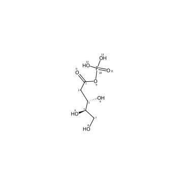 O=C(C[C@H](O)[C@H](O)CO)OP(=O)(O)O